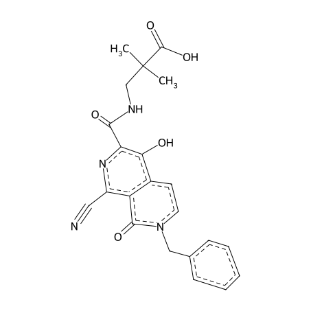 CC(C)(CNC(=O)c1nc(C#N)c2c(=O)n(Cc3ccccc3)ccc2c1O)C(=O)O